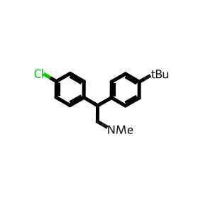 CNCC(c1ccc(Cl)cc1)c1ccc(C(C)(C)C)cc1